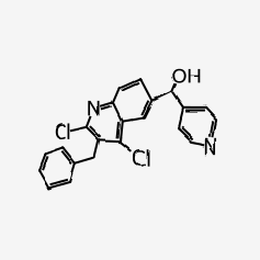 OC(c1ccncc1)c1ccc2nc(Cl)c(Cc3ccccc3)c(Cl)c2c1